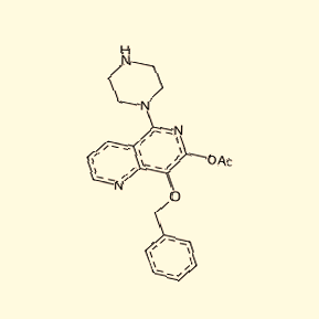 CC(=O)Oc1nc(N2CCNCC2)c2cccnc2c1OCc1ccccc1